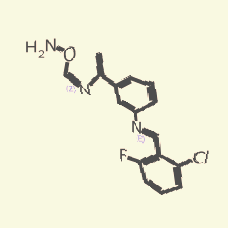 C=C(/N=C\ON)c1cccc(/N=C/c2c(F)cccc2Cl)c1